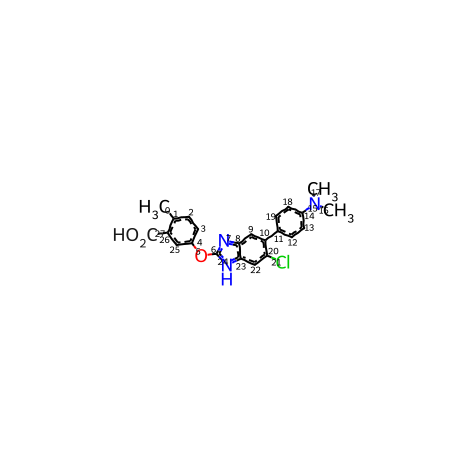 Cc1ccc(Oc2nc3cc(-c4ccc(N(C)C)cc4)c(Cl)cc3[nH]2)cc1C(=O)O